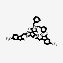 O=C1Cc2cc(C(F)(F)F)ccc2/C1=C/c1nc2c(s1)-c1sc(/C=C3\C(=O)C(=O)c4cc(C(F)(F)F)ccc43)nc1C2(C(=O)OCc1ccccc1)C(=O)OCc1ccccc1